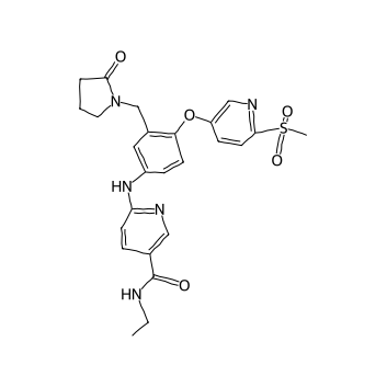 CCNC(=O)c1ccc(Nc2ccc(Oc3ccc(S(C)(=O)=O)nc3)c(CN3CCCC3=O)c2)nc1